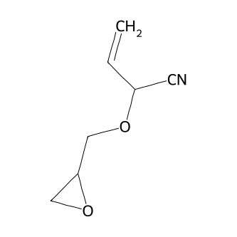 C=CC(C#N)OCC1CO1